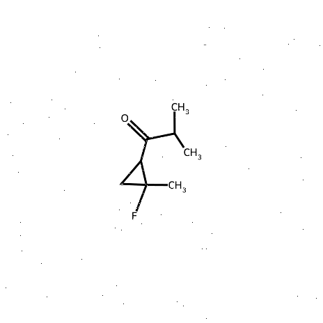 CC(C)C(=O)C1CC1(C)F